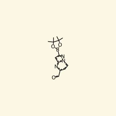 CC1(C)OB(c2cc3nc(C=O)ccn3n2)OC1(C)C